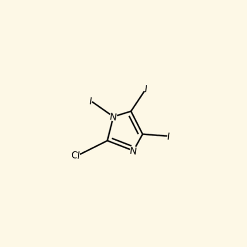 Clc1nc(I)c(I)n1I